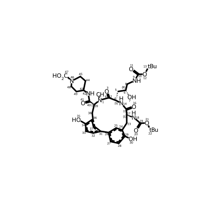 CN1C(=O)[C@H](C[C@@H](O)CNC(=O)OC(C)(C)C)NC(=O)[C@@H](NC(=O)OC(C)(C)C)Cc2cc(ccc2O)-c2ccc(O)c(c2)C[C@H]1C(=O)NC1CCN(C(=O)O)CC1